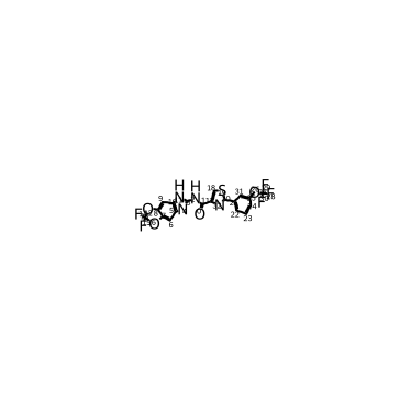 O=C(Nc1nc2cc3c(cc2[nH]1)OC(F)(F)O3)c1csc(-c2cccc(OC(F)(F)F)c2)n1